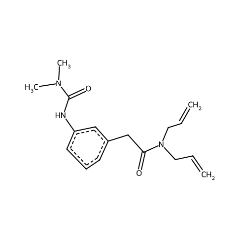 C=CCN(CC=C)C(=O)Cc1cccc(NC(=O)N(C)C)c1